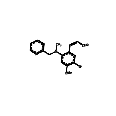 COc1cc(N(C)Cc2ccccn2)c(/C=C\C=O)cc1Br